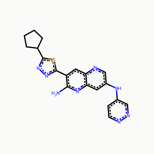 Nc1nc2cc(Nc3ccnnc3)cnc2cc1-c1nnc(C2CCCC2)s1